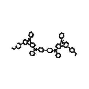 C=CC(=C)/C=C\C(=C/C)c1ccc2c(c1)c1cc(N(c3ccccc3)c3ccc(C4CC=C(N(c5ccccc5)c5ccc6c(c5)c5cc(-c7ccc(C=C)cc7)ccc5n6-c5ccccc5)CC4)cc3)ccc1n2-c1ccccc1